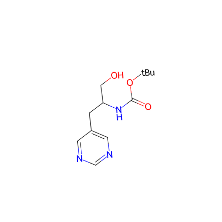 CC(C)(C)OC(=O)NC(CO)Cc1cncnc1